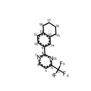 FC(F)(F)c1ccnc(-c2ccc3c(c2)[C]CCC3)n1